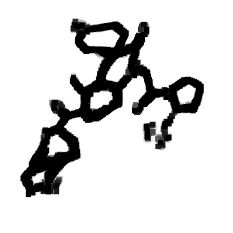 Cc1c(C(=O)c2ccc3[nH]ncc3n2)ccc2c1C1(CCNCC1)C(=O)N2CC(=O)N1CCC[C@@H]1C(F)(F)F